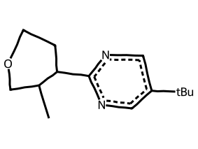 CC1COCCC1c1ncc(C(C)(C)C)cn1